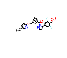 N#Cc1ccc(OCC2CC(C(=O)N3N=CCC3c3cc(F)c(CO)c(F)c3)C3CC2C3)nc1